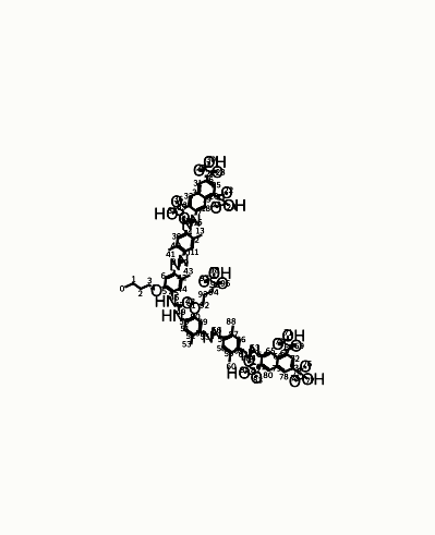 CCCCOc1cc(N=Nc2cc(C)c(N=Nc3cc4c(S(=O)(=O)O)cc(S(=O)(=O)O)cc4cc3S(=O)(=O)O)cc2C)c(C)cc1NC(=O)Nc1cc(C)c(N=Nc2cc(C)c(N=Nc3cc4c(S(=O)(=O)O)cc(S(=O)(=O)O)cc4cc3S(=O)(=O)O)cc2C)cc1OCCCS(=O)(=O)O